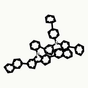 c1ccc(-c2ccc(N(c3ccc(-c4ccccc4)cc3)c3cccc(-c4ccccc4-n4c5cc(-c6ccc7ccccc7c6)ccc5c5ccc(-c6ccc7ccccc7c6)cc54)c3)cc2)cc1